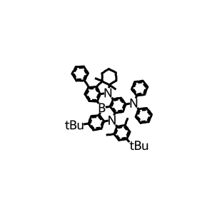 Cc1cc(C(C)(C)C)cc(C)c1N1c2ccc(C(C)(C)C)cc2B2c3ccc(-c4ccccc4)c4c3N(c3cc(N(c5ccccc5)c5ccccc5)cc1c32)C1(C)CCCCC41C